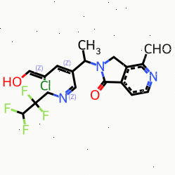 CC(C(/C=N\CC(F)(F)C(F)F)=C/C(Cl)=C/O)N1Cc2c(ccnc2C=O)C1=O